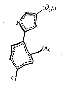 COc1cc(Cl)ccc1-c1ncc(C(=O)O)s1